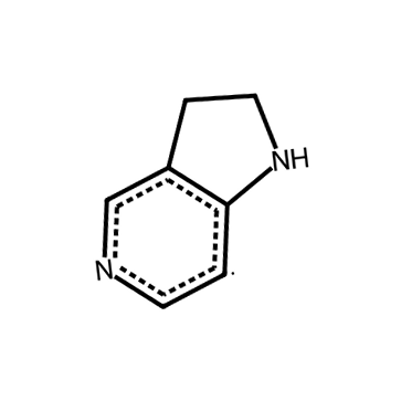 [c]1cncc2c1NCC2